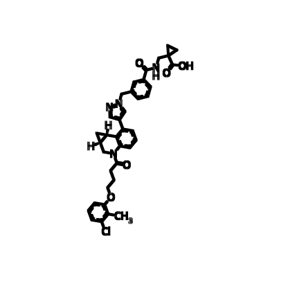 Cc1c(Cl)cccc1OCCCC(=O)N1C[C@@H]2C[C@@H]2c2c(-c3cnn(Cc4cccc(C(=O)NCC5(C(=O)O)CC5)c4)c3)cccc21